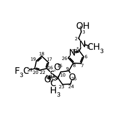 CN(CCO)c1ccc(C2CC(C)(S(=O)(=O)c3cccc(C(F)(F)F)c3)CCO2)cn1